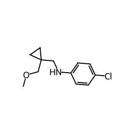 COCC1(CNc2ccc(Cl)cc2)CC1